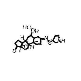 C[C@]12CCC(=NO[C@H]3CCNC3)CC1C(O)C[C@@H]1[C@H]2CC[C@]2(C)C(=O)CC[C@@H]12.Cl